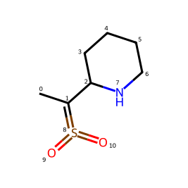 CC(C1CCCCN1)=S(=O)=O